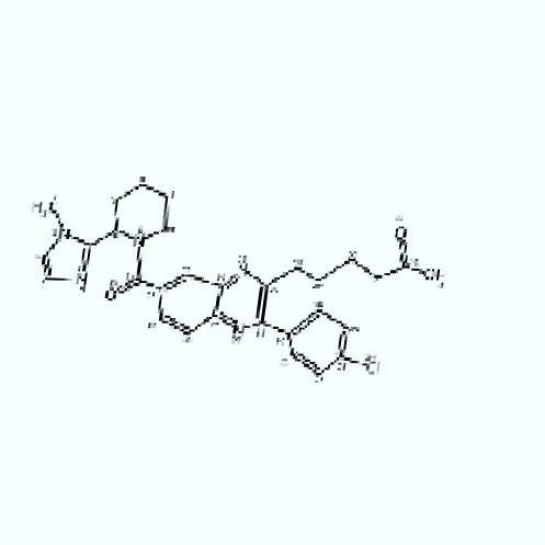 Cn1ccnc1C1CCCCN1C(=O)c1ccc2nc(-c3ccc(Cl)cc3)c(CCCCC(=O)O)nc2c1